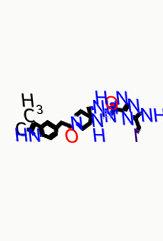 Cc1[nH]c2ccc(CC(=O)N3CCC4(CC3)CN/C(=N\C(=O)c3nc(CI)c(N)nc3N)N4)cc2c1C